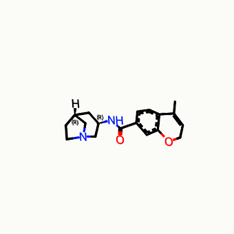 CC1=CCOc2cc(C(=O)N[C@@H]3C[C@H]4CCN(C4)C3)ccc21